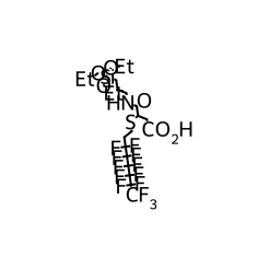 CCO[Si](CCCNC(=O)C(CC(=O)O)SCCC(F)(F)C(F)(F)C(F)(F)C(F)(F)C(F)(F)C(F)(F)F)(OCC)OCC